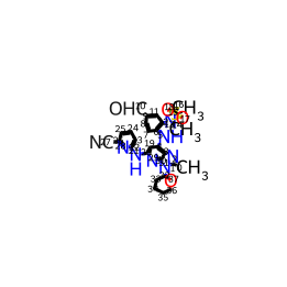 Cc1nc2c(Nc3ccc(C=O)cc3N(C)S(C)(=O)=O)cc(Nc3cccc(C#N)n3)nc2n1C1CCCCO1